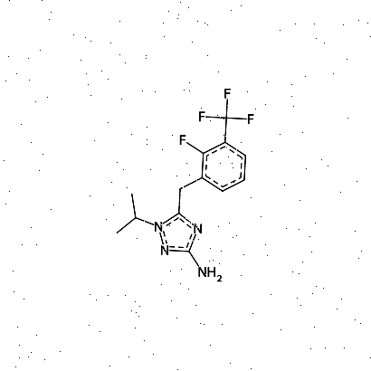 CC(C)n1nc(N)nc1Cc1cccc(C(F)(F)F)c1F